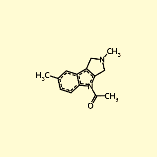 CC(=O)n1c2c(c3cc(C)ccc31)CN(C)C2